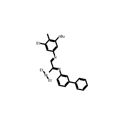 CCCCc1cc(N=CC(C)=Nc2cccc(-c3ccccc3)c2)cc(CC)c1C.C[CH2][Ni][CH2]C